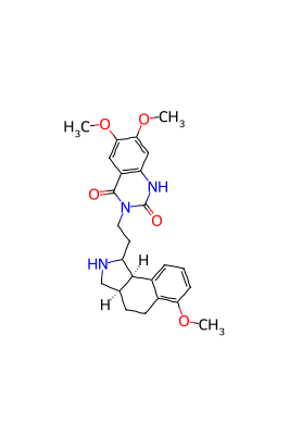 COc1cc2[nH]c(=O)n(CCC3NC[C@@H]4CCc5c(OC)cccc5[C@H]34)c(=O)c2cc1OC